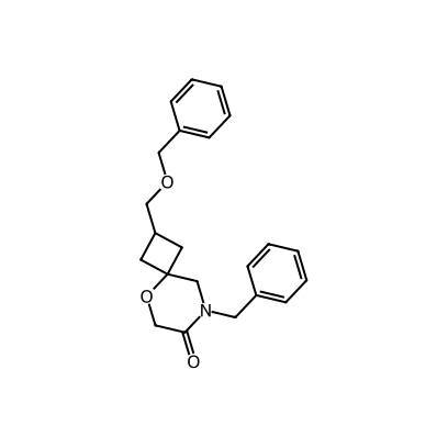 O=C1COC2(CC(COCc3ccccc3)C2)CN1Cc1ccccc1